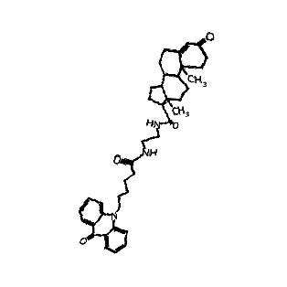 CC12CCC(=O)C=C1CCC1C2CCC2(C)C(C(=O)NCCNC(=O)CCCCCn3c4ccccc4c(=O)c4ccccc43)CCC12